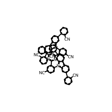 N#Cc1ccc(-n2c3cc(-c4ccccc4C#N)ccc3c3ccc(-c4ccccc4C#N)cc32)c(-c2nc(-c3ccccc3)nc(-c3cc(C#N)ccc3-n3c4cc(-c5ccccc5C#N)ccc4c4ccc(-c5ccccc5C#N)cc43)n2)c1